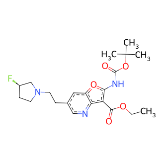 CCOC(=O)c1c(NC(=O)OC(C)(C)C)oc2cc(CCN3CC[C@@H](F)C3)cnc12